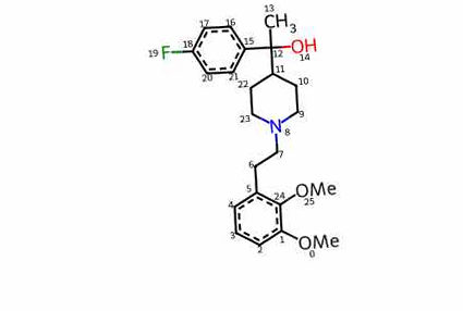 COc1cccc(CCN2CCC(C(C)(O)c3ccc(F)cc3)CC2)c1OC